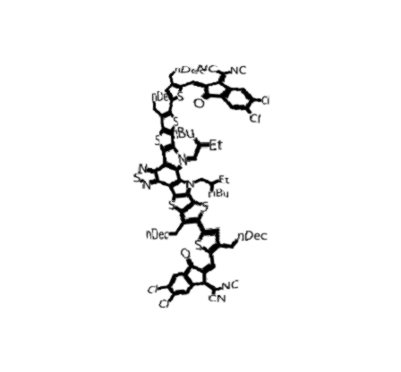 [C-]#[N+]/C(C#N)=C1\C(=C\c2sc(-c3sc4c(sc5c6c7nsnc7c7c8sc9c(CCCCCCCCCCC)c(-c%10cc(CCCCCCCCCCC)c(/C=C%11\C(=O)c%12cc(Cl)c(Cl)cc%12\C%11=C(\C#N)[N+]#[C-])s%10)sc9c8n(CC(CC)CCCC)c7c6n(CC(CC)CCCC)c45)c3CCCCCCCCCCC)cc2CCCCCCCCCCC)C(=O)c2cc(Cl)c(Cl)cc21